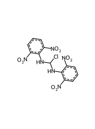 O=[N+]([O-])c1cccc([N+](=O)[O-])c1NC(Cl)Nc1c([N+](=O)[O-])cccc1[N+](=O)[O-]